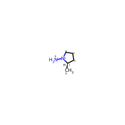 C[C@@H]1CCCN1N